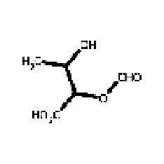 CC(O)C(OC=O)C(=O)O